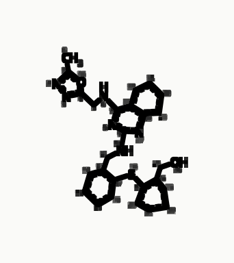 Cc1nnc(CNc2nc(NCc3ccccc3Sc3ccccc3CO)nc3ccccc23)o1